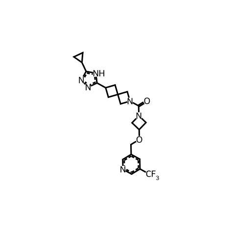 O=C(N1CC(OCc2cncc(C(F)(F)F)c2)C1)N1CC2(CC(c3nnc(C4CC4)[nH]3)C2)C1